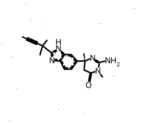 CC#CC(C)(C)c1nc2ccc([C@@]3(C)CC(=O)N(C)C(N)=N3)cc2[nH]1